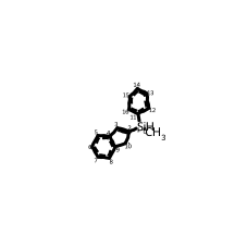 C[SiH](C1=Cc2ccccc2[CH]1)c1ccccc1